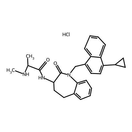 CNC(C)C(=O)NC1CCc2ccccc2N(Cc2ccc(C3CC3)c3ccccc23)C1=O.Cl